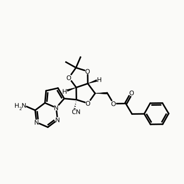 CC1(C)O[C@H]2[C@@H](O1)[C@](C#N)(c1ccc3c(N)ncnn13)O[C@@H]2COC(=O)Cc1ccccc1